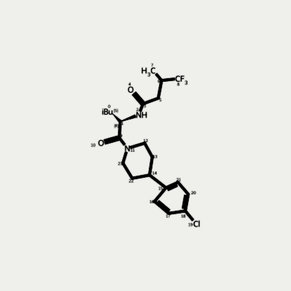 CC[C@H](C)[C@@H](NC(=O)CC(C)C(F)(F)F)C(=O)N1CCC(c2ccc(Cl)cc2)CC1